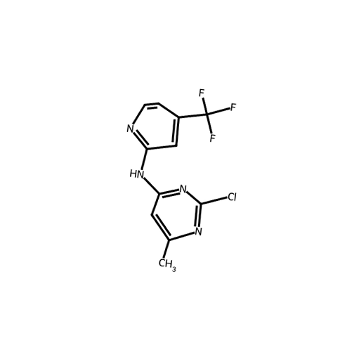 Cc1cc(Nc2cc(C(F)(F)F)ccn2)nc(Cl)n1